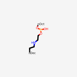 CCCCCCCCCCCCNCCOP(O)OCCCCCCCC